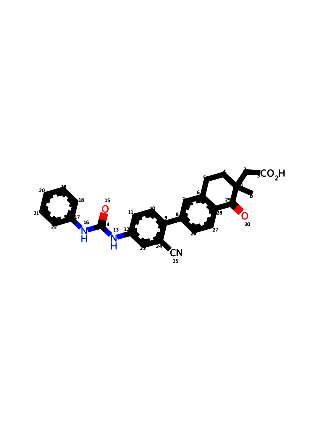 CC1(CC(=O)O)CCc2cc(-c3ccc(NC(=O)Nc4ccccc4)cc3C#N)ccc2C1=O